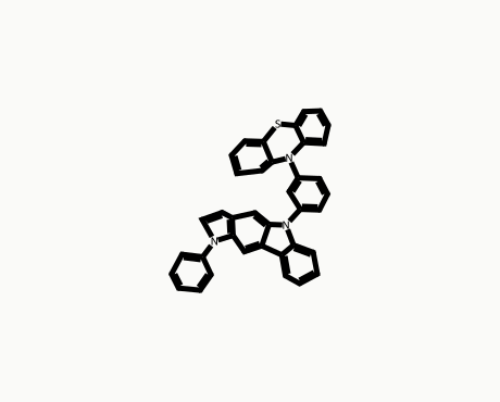 c1ccc(-n2ccc3cc4c(cc32)c2ccccc2n4-c2cccc(N3c4ccccc4Sc4ccccc43)c2)cc1